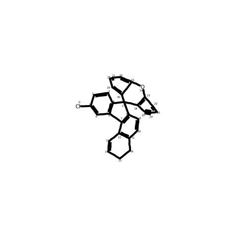 Clc1ccc2c(c1)-c1c(ccc3c1C=CCC3)C21c2c#cccc2Oc2ccccc21